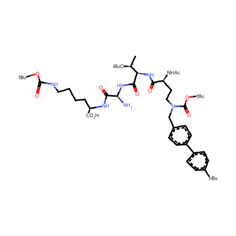 CCCCc1ccc(-c2ccc(CN(CC[C@H](NC(C)=O)C(=O)N[C@@H](C(=O)N[C@@H](N)C(=O)N[C@H](CCCCNC(=O)OC(C)(C)C)C(=O)O)[C@H](C)OCC(C)C)C(=O)OC(C)(C)C)cc2)cc1